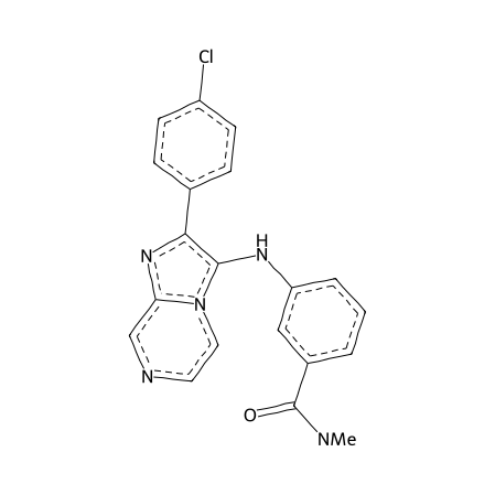 CNC(=O)c1cccc(Nc2c(-c3ccc(Cl)cc3)nc3cnccn23)c1